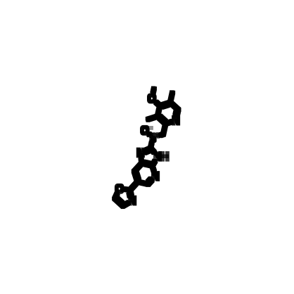 COc1c(C)cnc(C[S+]([O-])c2nc3cc(-c4ncco4)cnc3[nH]2)c1C